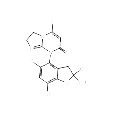 CC1(C)Cc2c(c(Cl)cc(F)c2N2C(=O)C=C(C(F)(F)F)N3CCN=C32)O1